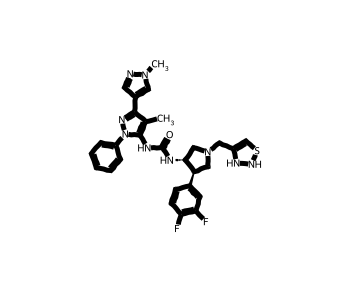 Cc1c(-c2cnn(C)c2)nn(-c2ccccc2)c1NC(=O)N[C@@H]1CN(CC2=CSNN2)C[C@H]1c1ccc(F)c(F)c1